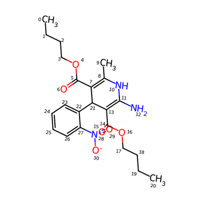 CCCCOC(=O)C1=C(C)NC(N)=C(C(=O)OCCCC)C1c1ccccc1[N+](=O)[O-]